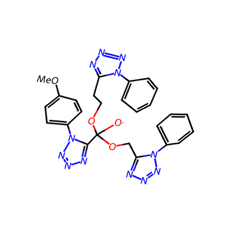 COc1ccc(-n2nnnc2C([O])(OCCc2nnnn2-c2ccccc2)OCc2nnnn2-c2ccccc2)cc1